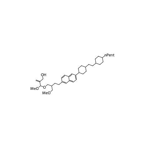 C=C(CO)C(OC)OCC(CCc1ccc2cc(C3CCC(CCC4CCC(CCCCC)CC4)CC3)ccc2c1)COC